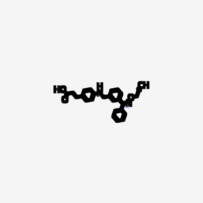 C#CCO/N=C(/c1ccccc1)c1cccc(CNc2ccc(CCC(=O)O)cc2)c1